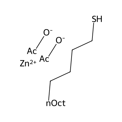 CC(=O)[O-].CC(=O)[O-].CCCCCCCCCCCCS.[Zn+2]